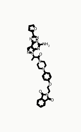 CC(C(=O)N1CCN(c2ccc(OCCN3C(=O)c4ccccc4C3=O)cc2)CC1)n1ncc2c1nc(N)n1nc(-c3ccco3)nc21